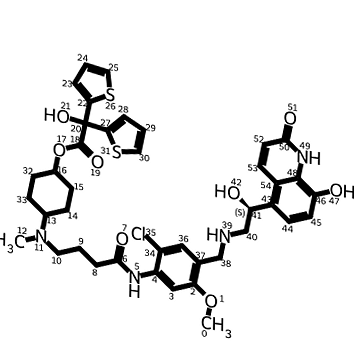 COc1cc(NC(=O)CCCN(C)C2CCC(OC(=O)C(O)(c3cccs3)c3cccs3)CC2)c(Cl)cc1CNC[C@@H](O)c1ccc(O)c2[nH]c(=O)ccc12